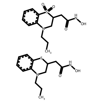 CCCN1CC(CC(=O)NO)S(=O)(=O)c2ccccc21.CCCN1CC(CC(=O)NO)Sc2ccccc21